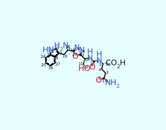 NC(=O)CC[C@H](NC(=O)N[C@@H](CO)c1nnc([C@@H](N)Cc2c[nH]c3ccccc23)o1)C(=O)O